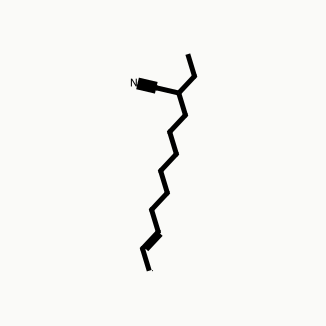 [CH2]C=CCCCCCCC(C#N)CC